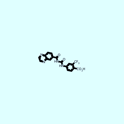 O=C(NC(=O)c1ccc2nccnc2c1)Nc1ccc(C(=O)O)c(C(F)(F)F)c1